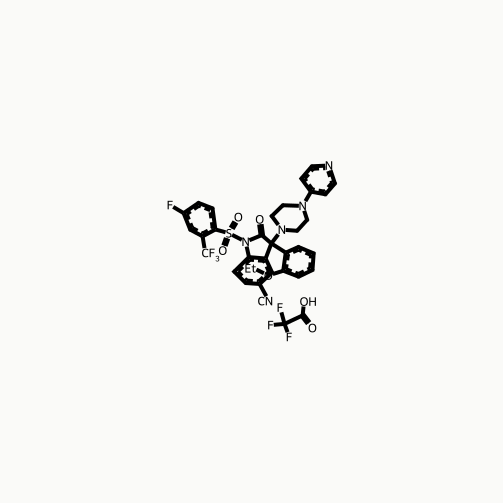 CCOc1ccccc1C1(N2CCN(c3ccncc3)CC2)C(=O)N(S(=O)(=O)c2ccc(F)cc2C(F)(F)F)c2ccc(C#N)cc21.O=C(O)C(F)(F)F